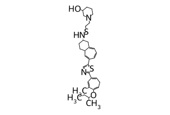 CCC(C)OC1=CCC=C(c2ncc(C3=CC4CC[C@H](NSCCN5CCCC(O)C5)CC4=CC=C3)s2)C=C1C